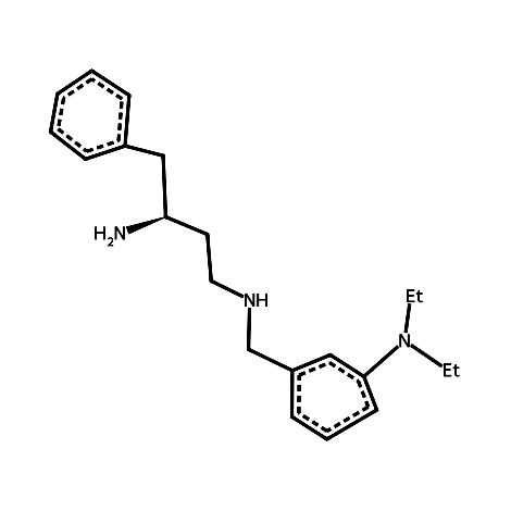 CCN(CC)c1cccc(CNCC[C@@H](N)Cc2ccccc2)c1